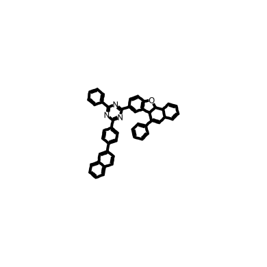 C1=CC2C=C(c3ccccc3)C3c4cc(-c5nc(-c6ccccc6)nc(-c6ccc(-c7ccc8ccccc8c7)cc6)n5)ccc4OC3C2C=C1